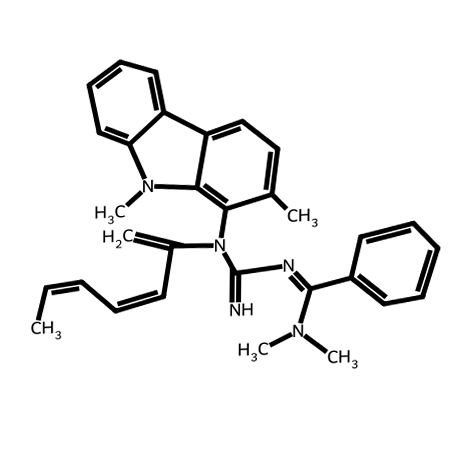 C=C(/C=C\C=C/C)N(C(=N)/N=C(/c1ccccc1)N(C)C)c1c(C)ccc2c3ccccc3n(C)c12